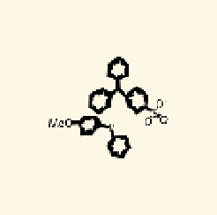 COc1ccc([I+]c2ccccc2)cc1.O=S(=O)([O-])c1ccc(C(c2ccccc2)c2ccccc2)cc1